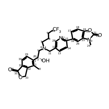 Cc1c([C@@H](O)CN(CCCC(F)(F)F)Cc2ccc(-c3ccc4oc(=O)n(C)c4c3)nc2)ccc2c1COC2=O